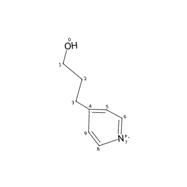 OCCCC1=CC=[N+]C=C1